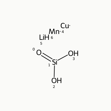 O=[Si](O)O.[Cu].[LiH].[Mn]